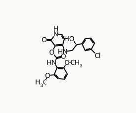 COc1cccc(OC)c1NC(=O)Oc1c(NC[C@@H](O)c2cccc(Cl)c2)cc[nH]c1=O